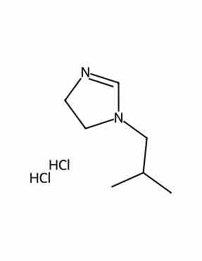 CC(C)CN1C=NCC1.Cl.Cl